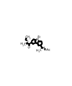 C=CSC(=C)C(=O)c1ccc2c(c1)c1cc(/C(C)=N/OC(C)=O)ccc1n2CC